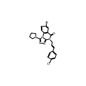 O=c1c2cc(Br)ccc2n2c(N3CCCC3)nnc2n1CC=Cc1ccc(Cl)cc1